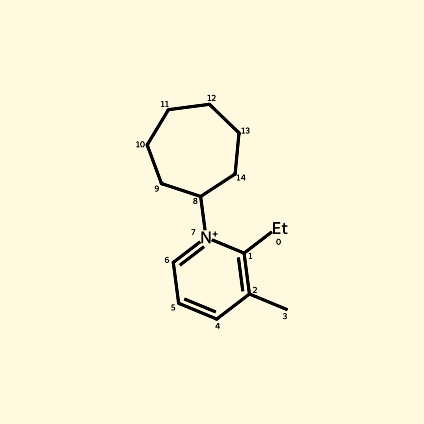 CCc1c(C)ccc[n+]1C1CCCCCC1